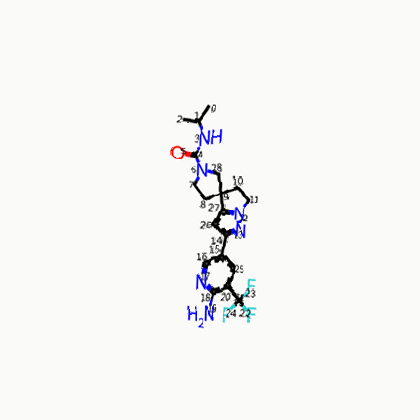 CC(C)NC(=O)N1CC[C@]2(CCn3nc(-c4cnc(N)c(C(F)(F)F)c4)cc32)C1